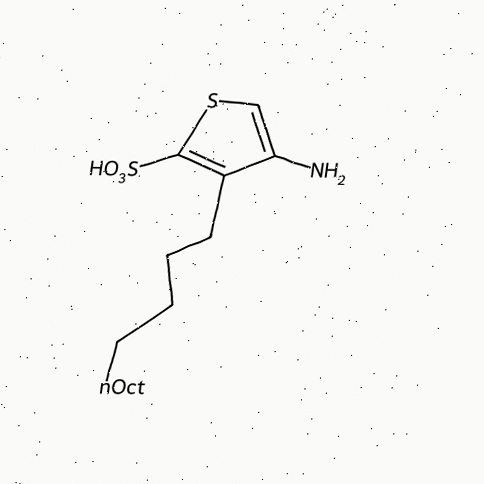 CCCCCCCCCCCCc1c(N)csc1S(=O)(=O)O